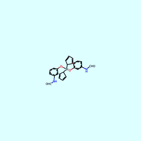 O=CNc1cccc([O][Zr]([O]c2cccc(NC=O)c2)([CH]2C=CC=C2)[CH]2C=CC=C2)c1